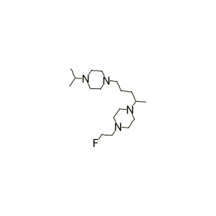 CC(C)N1CCN(CCCC(C)N2CCN(CCF)CC2)CC1